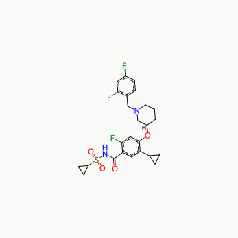 O=C(NS(=O)(=O)C1CC1)c1cc(C2CC2)c(O[C@@H]2CCCN(Cc3ccc(F)cc3F)C2)cc1F